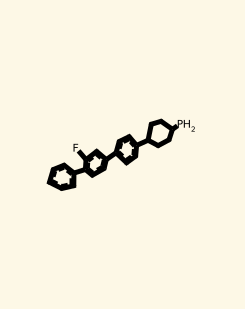 Fc1cc(-c2ccc(C3CCC(P)CC3)cc2)ccc1-c1ccccc1